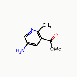 COC(=O)c1cc(N)cnc1C